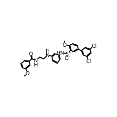 COc1cccc(C(=O)NCCNc2cccc(N[S+]([O-])c3cc(-c4cc(Cl)cc(Cl)c4)ccc3OC)c2)c1